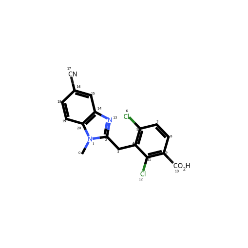 Cn1c(Cc2c(Cl)ccc(C(=O)O)c2Cl)nc2cc(C#N)ccc21